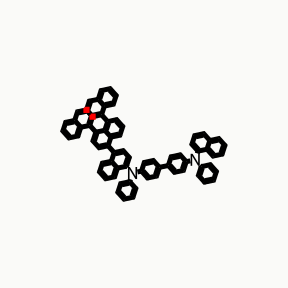 c1ccc(N(c2ccc(-c3ccc(N(c4ccccc4)c4ccc(-c5ccc(-c6cccc7ccccc67)c6c(-c7cccc8ccccc78)cccc56)c5ccccc45)cc3)cc2)c2cccc3ccccc23)cc1